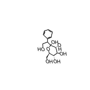 OCC(c1ccccc1)[C@@]1(O)O[C@H](CO)[C@@H](O)[C@H](O)[C@H]1O